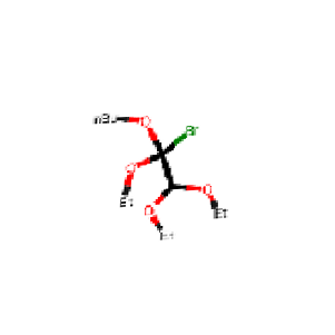 CCCCOC(Br)(OCC)C(OCC)OCC